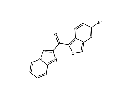 O=C(c1cn2ccccc2n1)c1occ2cc(Br)ccc12